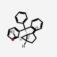 O=C(O)[C@H]1[C@H]2CCC(=O)[C@@]21C(c1ccccc1)(c1ccccc1)c1ccccc1